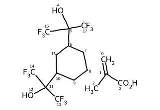 C=C(C)C(=O)O.OC(C1CCCC(C(O)(C(F)(F)F)C(F)(F)F)C1)(C(F)(F)F)C(F)(F)F